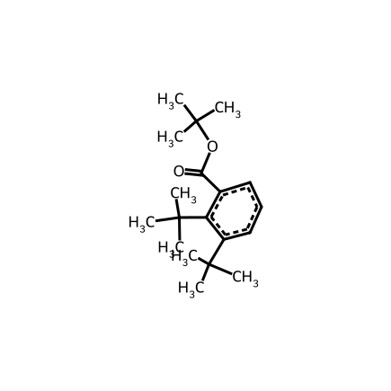 CC(C)(C)OC(=O)c1cccc(C(C)(C)C)c1C(C)(C)C